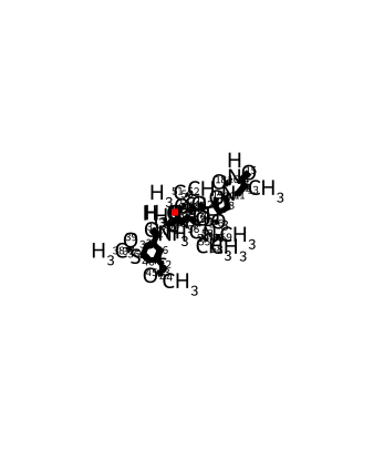 [C-]#[N+]CCOP(O[C@@H]1C[C@H](n2cc(C)c(=O)[nH]c2=O)O[C@@H]1CO[Si](OC(C)(C)CCNC(=O)c1cc(SC(C)=O)cc(SC(C)=O)c1)(C(C)C)C(C)C)N(C(C)C)C(C)C